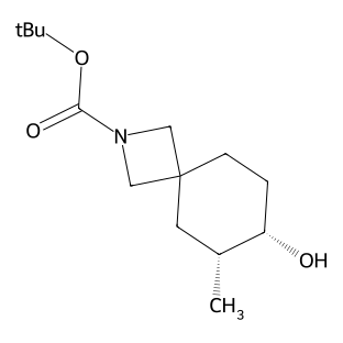 C[C@@H]1CC2(CC[C@@H]1O)CN(C(=O)OC(C)(C)C)C2